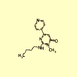 CCCCNc1nc(-c2ccncc2)cc(=O)n1C